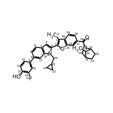 Cc1c(-c2cc3ccc(-c4ccc(O)c(F)c4)cc3n2CC2CC2)oc2cc(C(=O)N3CC4CCC3C4C)ccc12